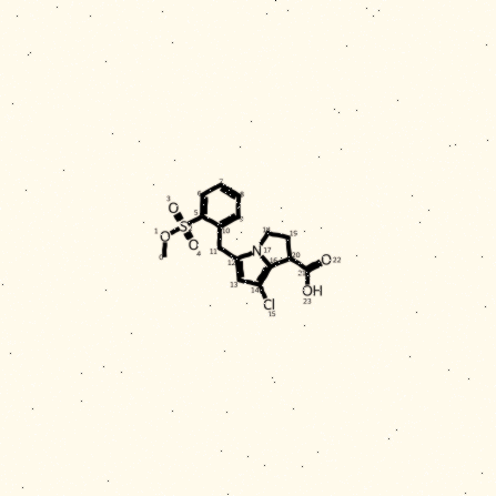 COS(=O)(=O)c1ccccc1Cc1cc(Cl)c2n1CCC2C(=O)O